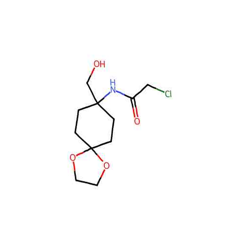 O=C(CCl)NC1(CO)CCC2(CC1)OCCO2